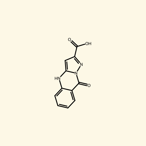 O=C(O)c1cc2[nH]c3ccccc3c(=O)n2n1